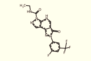 CCNC(=O)n1ncc2c3nn(-c4cc(F)cc(C(F)(F)F)c4)c(=O)c-3c[nH]c21